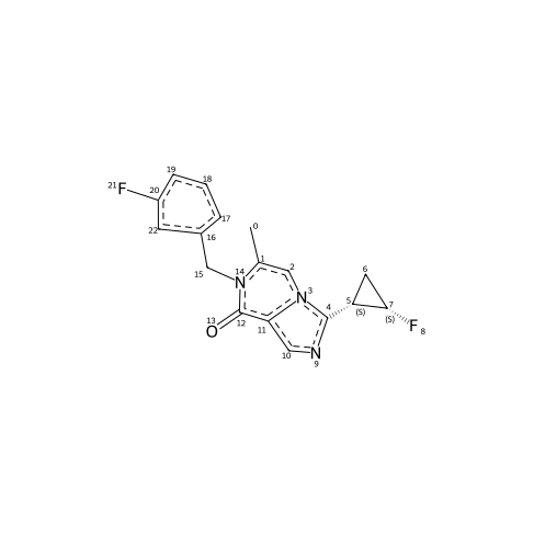 Cc1cn2c([C@@H]3C[C@@H]3F)ncc2c(=O)n1Cc1cccc(F)c1